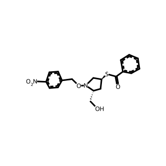 O=C(S[C@H]1C[C@H](CO)N(OCc2ccc([N+](=O)[O-])cc2)C1)c1ccccc1